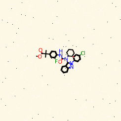 COC(=O)C(C)(C)c1ccc(NC(=O)N(c2c3ccccc3nn2-c2ccc(Cl)cc2)C2CCCCC2)c(F)c1